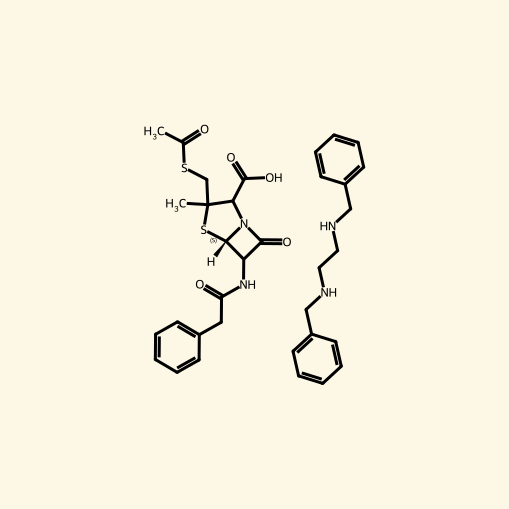 CC(=O)SCC1(C)S[C@H]2C(NC(=O)Cc3ccccc3)C(=O)N2C1C(=O)O.c1ccc(CNCCNCc2ccccc2)cc1